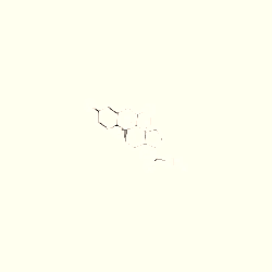 CC(=O)[C@H]1CC[C@H]2[C@@H]3C(Cl)CC4=CC(=O)C=C[C@]4(C)[C@H]3CC[C@]12C